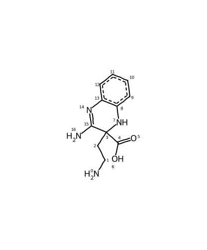 NCCC1(C(=O)O)Nc2ccccc2N=C1N